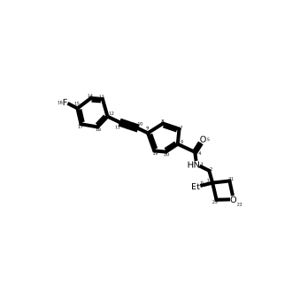 CCC1(CNC(=O)c2ccc(C#Cc3ccc(F)cc3)cc2)COC1